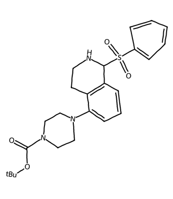 CC(C)(C)OC(=O)N1CCN(c2cccc3c2CCNC3S(=O)(=O)c2ccccc2)CC1